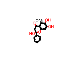 COc1c(O)c(O)cc2c1C(=O)C[C@@](O)(c1ccccc1)O2